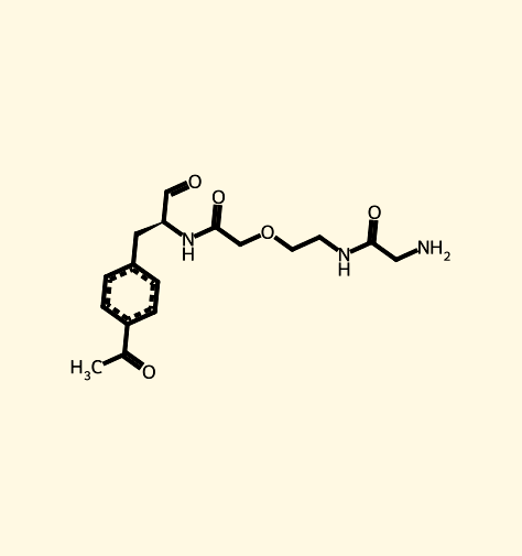 CC(=O)c1ccc(C[C@@H](C=O)NC(=O)COCCNC(=O)CN)cc1